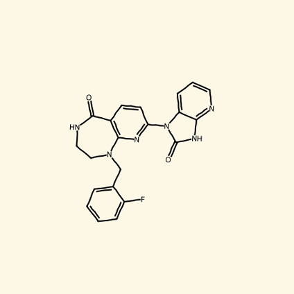 O=C1NCCN(Cc2ccccc2F)c2nc(-n3c(=O)[nH]c4ncccc43)ccc21